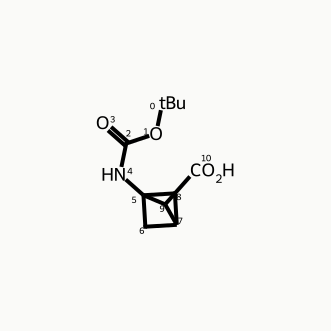 CC(C)(C)OC(=O)NC12CC(C1)C2C(=O)O